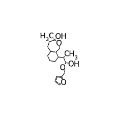 C[C@@H](C(O)OCc1ccco1)C1CCCC2CC[C@@](C)(O)OCC21